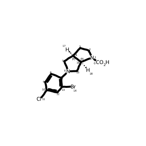 O=C(O)N1CC[C@@H]2CN(c3ccc(Cl)cc3Br)C[C@@H]21